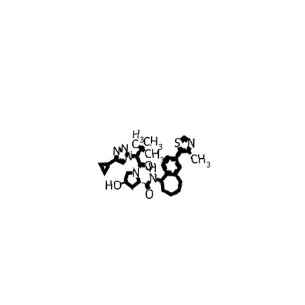 Cc1ncsc1-c1ccc2c(c1)CCCCC2NC(=O)[C@@H]1C[C@@H](O)CN1C(=O)C(n1cc(C2CC2)nn1)C(C)(C)C